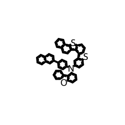 c1ccc2cc(-c3ccc(N(c4ccc5sc6ccc7sc8c9ccccc9ccc8c7c6c5c4)c4cccc5oc6ccccc6c45)cc3)ccc2c1